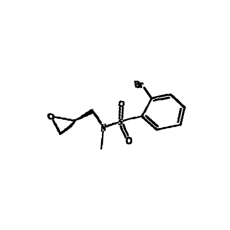 CN(C[C@H]1CO1)S(=O)(=O)c1ccccc1Br